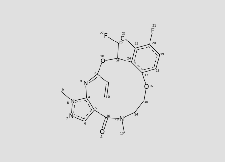 C=C/C1=N\c2c(cnn2C)C(=O)N(C)CCOc2ccc(F)c(Cl)c2C(CF)O1